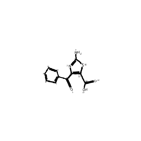 Nc1nc(C(=O)c2ccccc2)c(C(=O)O)s1